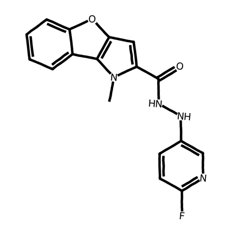 Cn1c(C(=O)NNc2ccc(F)nc2)cc2oc3ccccc3c21